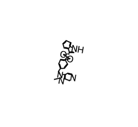 Cc1nc2cnccc2n1Cc1ccc(S(=O)(=O)c2c[nH]c3ccccc23)cc1